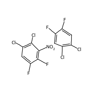 Fc1cc(Cl)c(Cl)cc1F.O=[N+]([O-])c1c(F)c(F)cc(Cl)c1Cl